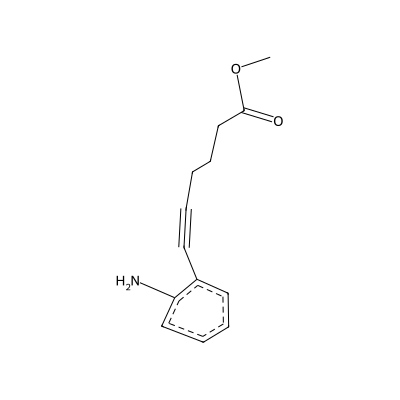 COC(=O)CCCC#Cc1ccccc1N